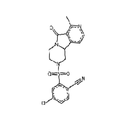 Cc1nccc2c1C(=O)N1CCN(S(=O)(=O)c3cc(Cl)ccc3C#N)CC21